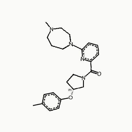 Cc1ccc(O[C@@H]2CCN(C(=O)c3cccc(N4CCCN(C)CC4)n3)C2)cc1